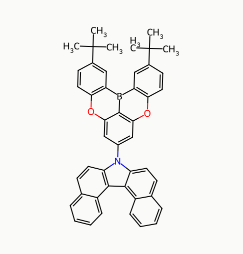 CC(C)(C)c1ccc2c(c1)B1c3cc(C(C)(C)C)ccc3Oc3cc(-n4c5ccc6ccccc6c5c5c6ccccc6ccc54)cc(c31)O2